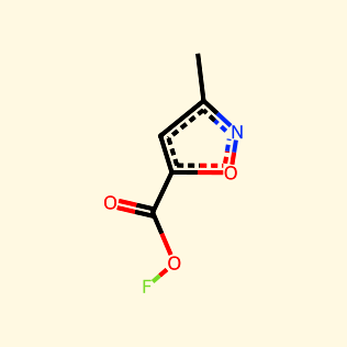 Cc1cc(C(=O)OF)on1